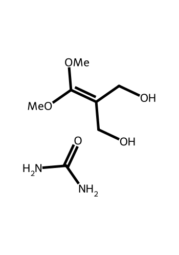 COC(OC)=C(CO)CO.NC(N)=O